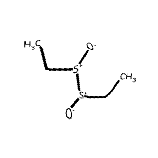 CC[S+]([O-])[S+]([O-])CC